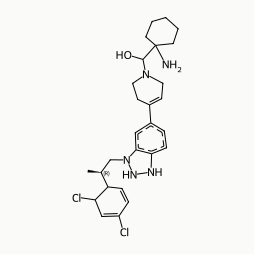 C[C@@H](CN1NNc2ccc(C3=CCN(C(O)C4(N)CCCCC4)CC3)cc21)C1C=CC(Cl)=CC1Cl